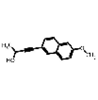 COc1ccc2cc(C#CC(C)O)ccc2c1